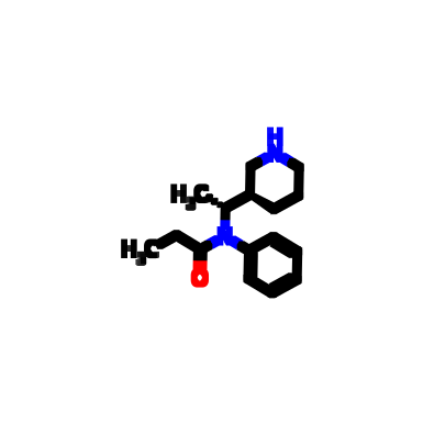 CCC(=O)N(c1ccccc1)[C@H](C)[C@@H]1CCCNC1